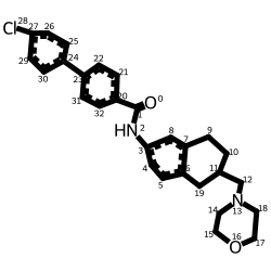 O=C(Nc1ccc2c(c1)CCC(CN1CCOCC1)C2)c1ccc(-c2ccc(Cl)cc2)cc1